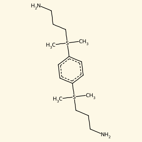 CS(C)(CCCN)c1ccc(S(C)(C)CCCN)cc1